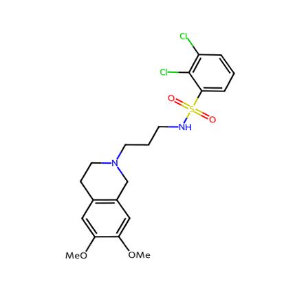 COc1cc2c(cc1OC)CN(CCCNS(=O)(=O)c1cccc(Cl)c1Cl)CC2